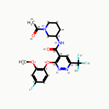 COc1cc(F)ccc1Oc1nnc(C(F)(F)F)cc1C(=O)NC1CCCN(C(C)=O)C1